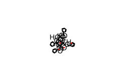 CC1[C@H](OCc2ccccc2)OC2COC(c3ccccc3)O[C@H]2[C@@H]1O[C@@H]1OC2COC(c3ccccc3)O[C@H]2[C@H](O)C1OC(=O)c1ccccc1